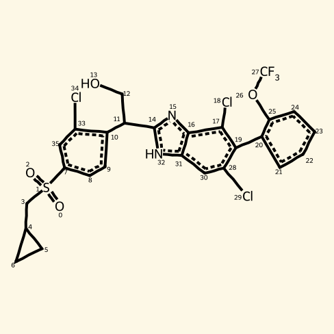 O=S(=O)(CC1CC1)c1ccc(C(CO)c2nc3c(Cl)c(-c4ccccc4OC(F)(F)F)c(Cl)cc3[nH]2)c(Cl)c1